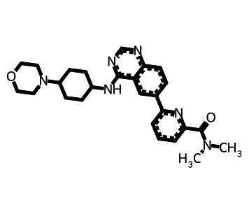 CN(C)C(=O)c1cccc(-c2ccc3ncnc(NC4CCC(N5CCOCC5)CC4)c3c2)n1